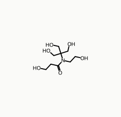 O=C(CCO)N(CCO)C(CO)(CO)CO